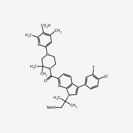 COCC(C)(C)n1cc(-c2ccc(Cl)c(F)c2)c2ccc(C(=O)N3CCN(c4cc(C)c(C(=O)O)c(C)n4)CC3(C)C)nc21